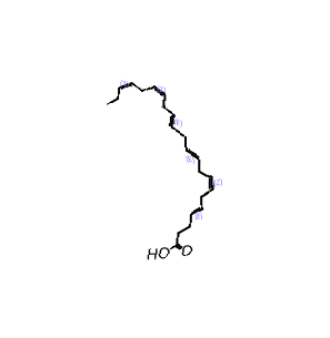 CC/C=C\C/C=C\C/C=C/C/C=C/C/C=C\C/C=C/CCC(=O)O